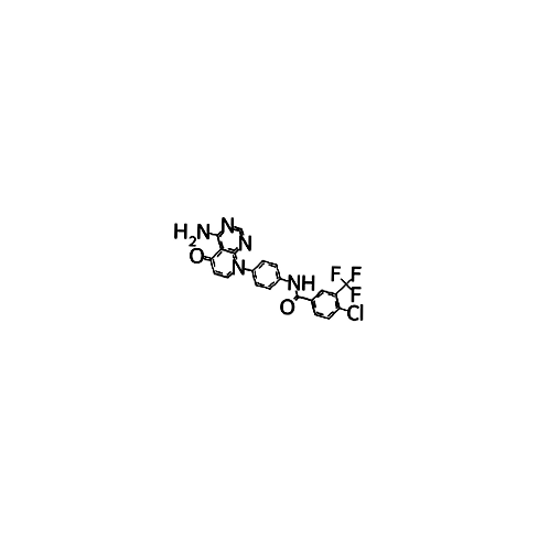 Nc1ncnc2c1c(=O)ccn2-c1ccc(NC(=O)c2ccc(Cl)c(C(F)(F)F)c2)cc1